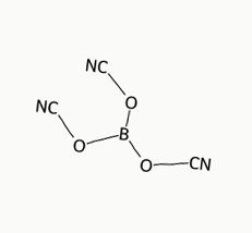 N#COB(OC#N)OC#N